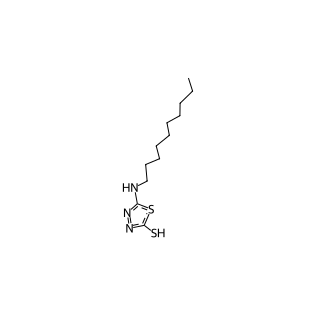 CCCCCCCCCCNc1nnc(S)s1